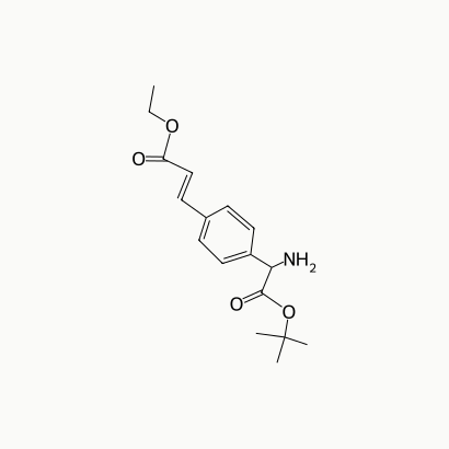 CCOC(=O)/C=C/c1ccc(C(N)C(=O)OC(C)(C)C)cc1